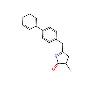 CC1CC(Cc2ccc(C3=CCCC=C3)cc2)=NC1=O